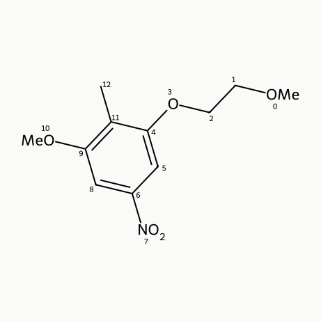 COCCOc1cc([N+](=O)[O-])cc(OC)c1C